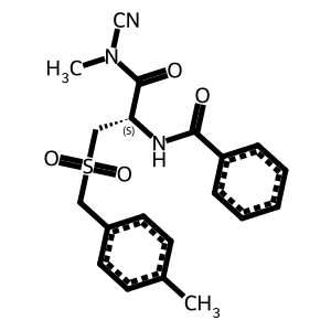 Cc1ccc(CS(=O)(=O)C[C@@H](NC(=O)c2ccccc2)C(=O)N(C)C#N)cc1